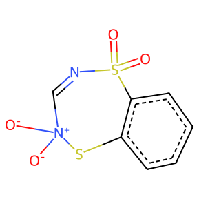 O=S1(=O)N=C[N+]([O-])([O-])Sc2ccccc21